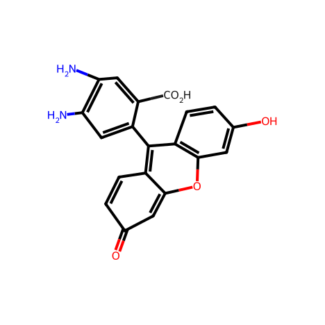 Nc1cc(C(=O)O)c(-c2c3ccc(=O)cc-3oc3cc(O)ccc23)cc1N